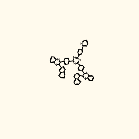 c1ccc(-c2ccc(-c3nc(-c4ccc(-c5nc6ccccc6nc5-c5ccc6ccccc6c5)cc4)nc(-c4ccc(-c5nc6ccccc6nc5-c5cccc6ccccc56)cc4)n3)cc2)nc1